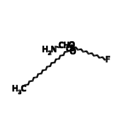 C=CCN.CCCCCCCCCCCCCCCCCCCCCOS(=O)(=O)CCCCCCCCCCCCF